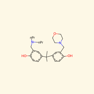 CCCN(CCC)Cc1cc(C(C)(C)c2ccc(O)c(CN3CCOCC3)c2)ccc1O